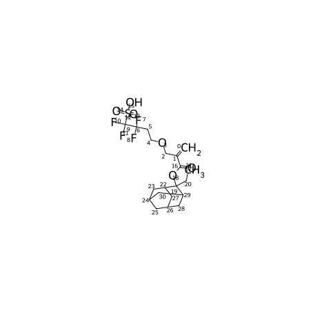 C=C(COCCC(F)(F)C(F)(F)S(=O)(=O)O)C(=O)OC1(CC)C2CC3CC(C2)CC1C3